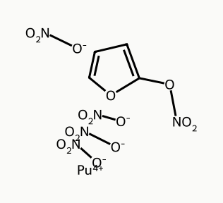 O=[N+]([O-])Oc1ccco1.O=[N+]([O-])[O-].O=[N+]([O-])[O-].O=[N+]([O-])[O-].O=[N+]([O-])[O-].[Pu+4]